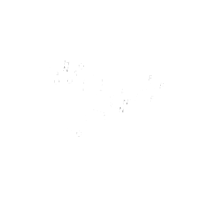 CCOc1ccc(-c2nn3cc(C(F)(F)F)ccc3c2-c2ccc(S(=O)(=O)NC(C)=O)cc2)cc1